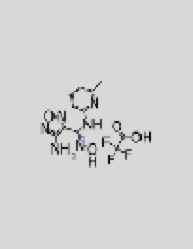 Cc1cccc(N/C(=N\O)c2nonc2N)n1.O=C(O)C(F)(F)F